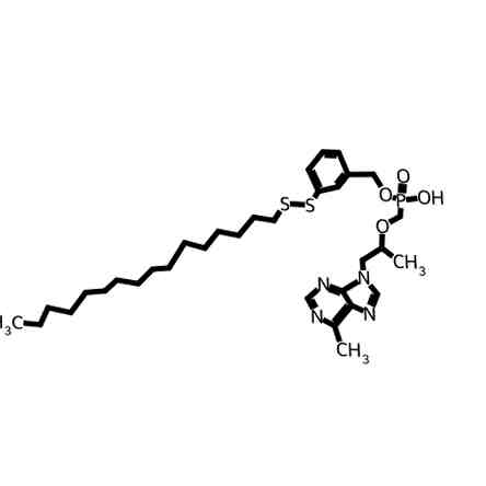 CCCCCCCCCCCCCCCCSSc1cccc(COP(=O)(O)COC(C)Cn2cnc3c(C)ncnc32)c1